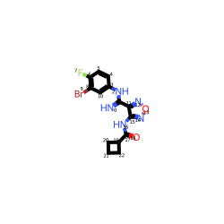 N=C(Nc1ccc(F)c(Br)c1)c1nonc1NC(=O)C1CCC1